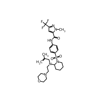 C=C(C)CN(CCN1CCOCC1)C1CCCCN1S(=O)(=O)c1ccc(NC(=O)c2cc(C(F)(F)F)nn2C)cc1